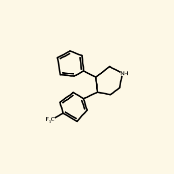 FC(F)(F)c1ccc(C2CCNCC2c2ccccc2)cc1